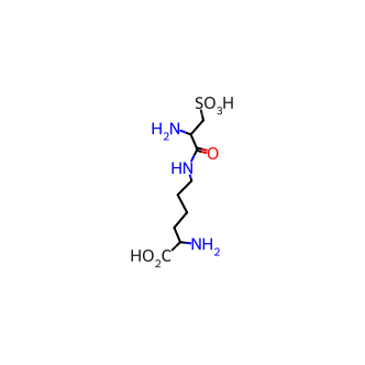 NC(CCCCNC(=O)C(N)CS(=O)(=O)O)C(=O)O